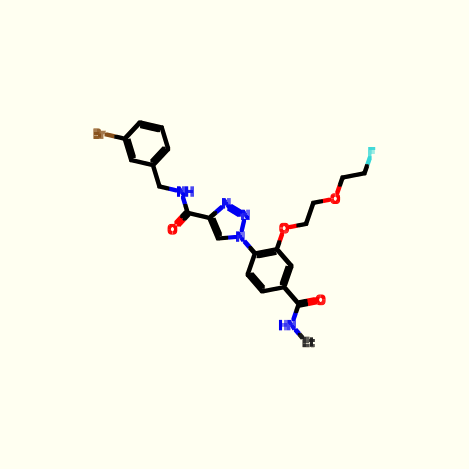 CCNC(=O)c1ccc(-n2cc(C(=O)NCc3cccc(Br)c3)nn2)c(OCCOCCF)c1